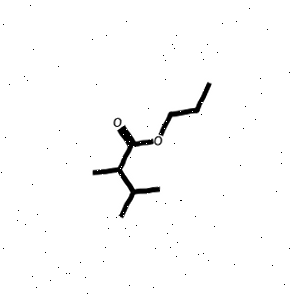 CCCOC(=O)C(C)C(C)C